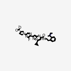 C/C=C(/C)c1ccccc1CCNC(=O)c1cc(C2CC2)n2nc(-c3ncc(N4CC[C@H](C(=O)OC)C4)nc3F)cc2n1